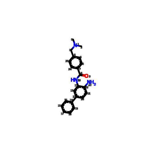 CN(C)Cc1ccc(C(=O)Nc2cc(-c3ccccc3)ccc2N)cc1